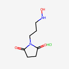 Cl.O=C1CCC(=O)N1CCCNO